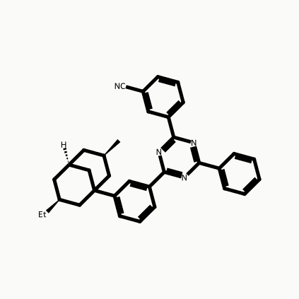 CC[C@H]1C[C@H]2C[C@@H](C)CC(c3cccc(-c4nc(-c5ccccc5)nc(-c5cccc(C#N)c5)n4)c3)(C2)C1